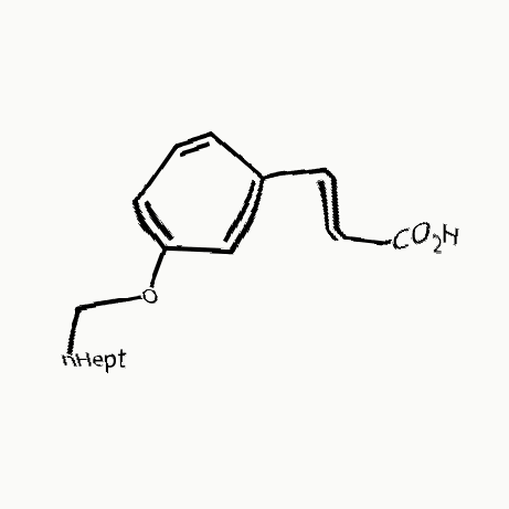 CCCCCCCCOc1cccc(C=CC(=O)O)c1